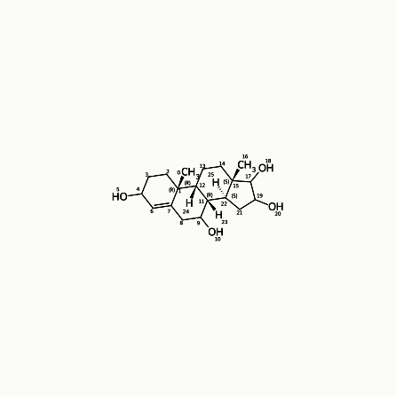 C[C@]12CCC(O)C=C1CC(O)[C@@H]1[C@H]2CC[C@]2(C)C(O)C(O)C[C@@H]12